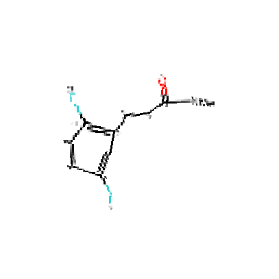 CNC(=O)CCc1cc(F)ccc1F